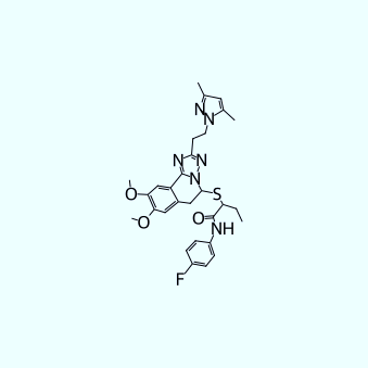 CCC(SC1Cc2cc(OC)c(OC)cc2-c2nc(CCn3nc(C)cc3C)nn21)C(=O)Nc1ccc(F)cc1